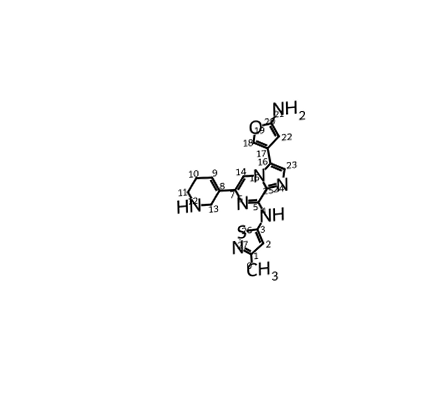 Cc1cc(Nc2nc(C3=CCCNC3)cn3c(-c4coc(N)c4)cnc23)sn1